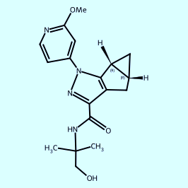 COc1cc(-n2nc(C(=O)NC(C)(C)CO)c3c2[C@@H]2C[C@@H]2C3)ccn1